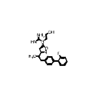 CC(Cc1ccc(-c2ccccc2F)cc1)c1cc(N(CCO)C(=N)N)on1